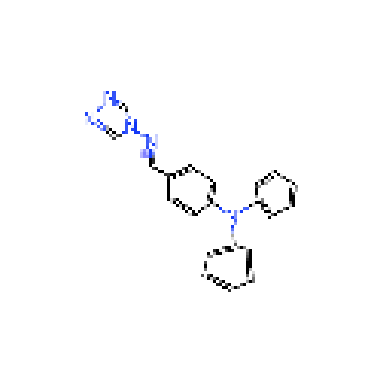 C(=N\n1cnnc1)/c1ccc(N(c2ccccc2)c2ccccc2)cc1